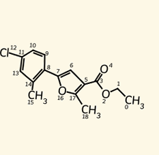 CCOC(=O)c1cc(-c2ccc(Cl)cc2C)oc1C